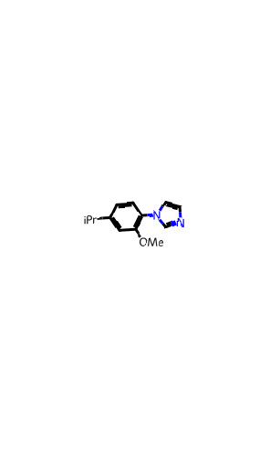 COc1cc(C(C)C)ccc1-n1ccnc1